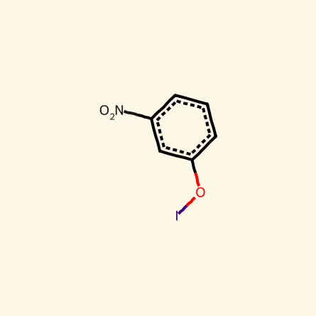 O=[N+]([O-])c1cccc(OI)c1